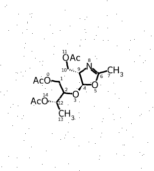 CC(=O)OCC(O[C@@H]1OC(C)=N[C@H]1COC(C)=O)[C@H](C)OC(C)=O